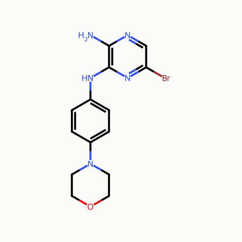 Nc1ncc(Br)nc1Nc1ccc(N2CCOCC2)cc1